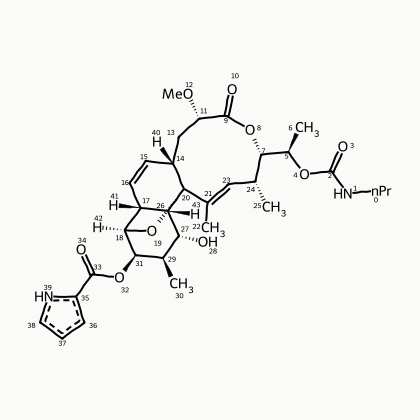 CCCNC(=O)O[C@H](C)[C@H]1OC(=O)[C@@H](OC)C[C@H]2C=C[C@H]3[C@H]4O[C@]2(/C(C)=C/[C@H]1C)[C@@H]3[C@H](O)[C@@H](C)[C@H]4OC(=O)c1ccc[nH]1